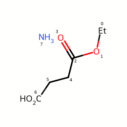 CCOC(=O)CCC(=O)O.N